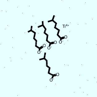 CC(C)CCCCC(=O)[O-].CC(C)CCCCC(=O)[O-].CC(C)CCCCC(=O)[O-].CC(C)CCCCC(=O)[O-].[Ti+4]